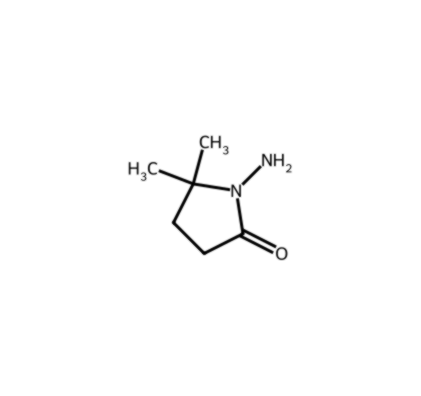 CC1(C)CCC(=O)N1N